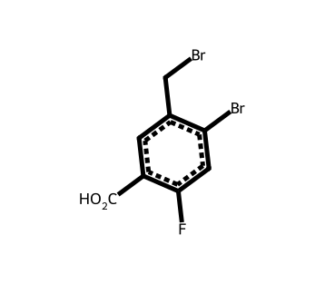 O=C(O)c1cc(CBr)c(Br)cc1F